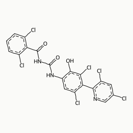 O=C(NC(=O)c1c(Cl)cccc1Cl)Nc1cc(Cl)c(-c2ncc(Cl)cc2Cl)c(Cl)c1O